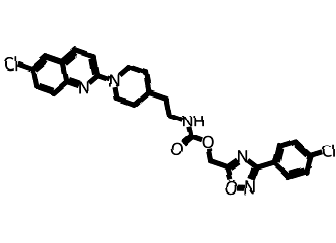 O=C(NCCC1CCN(c2ccc3cc(Cl)ccc3n2)CC1)OCc1nc(-c2ccc(Cl)cc2)no1